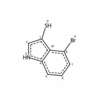 Sc1c[nH]c2cccc(Br)c12